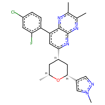 Cc1nc2nc([C@H]3C[C@@H](C)O[C@@H](c4cnn(C)c4)C3)cc(-c3ccc(Cl)cc3F)c2nc1C